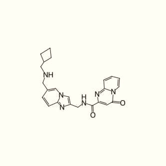 O=C(NCc1cn2cc(CNCC3CCC3)ccc2n1)c1cc(=O)n2ccccc2n1